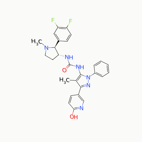 Cc1c(-c2ccc(O)nc2)nn(-c2ccccc2)c1NC(=O)N[C@@H]1CCN(C)[C@H]1c1ccc(F)c(F)c1